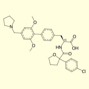 COc1cc(CN2CCCC2)cc(OC)c1-c1ccc(C[C@H](NC(=O)C2(c3ccc(Cl)cc3)CCCO2)C(=O)O)cc1